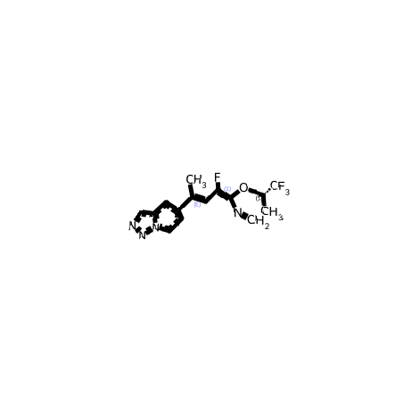 C=N/C(O[C@@H](C)C(F)(F)F)=C(F)\C=C(/C)c1ccn2nncc2c1